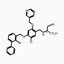 CC(C)C[C@H](NCc1cc(Cl)c(OCc2cccc(-c3ccccc3)c2Br)cc1OCc1cccnc1)C(=O)O